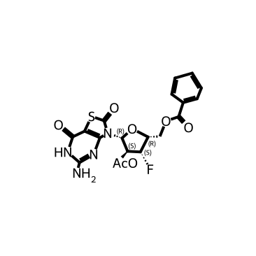 CC(=O)O[C@@H]1[C@@H](F)[C@@H](COC(=O)c2ccccc2)O[C@H]1n1c(=O)sc2c(=O)[nH]c(N)nc21